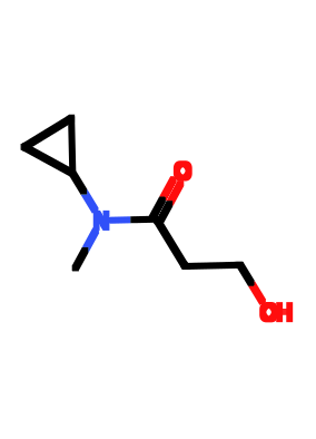 CN(C(=O)CCO)C1CC1